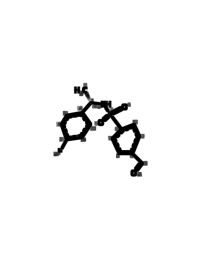 C[C@H](NS(=O)(=O)c1ccc(C=O)cc1)c1ccc(F)cc1